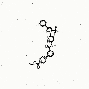 CCOC(=O)N1CCN(c2cccc(C(=O)Nc3ccc(-n4nc(-c5cccnc5)cc4C(F)(F)F)nn3)c2)CC1